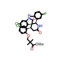 COC(=O)C(C)(C)COc1ccc(Cl)cc1[C@@H]1CC(=O)N[C@H](c2cc(F)ccc2C)[C@@]12C(=O)Nc1cc(Cl)ccc12